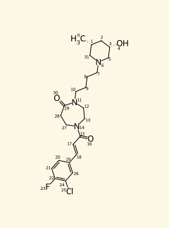 C[C@@H]1C[C@H](O)CN(CCCCN2CCN(C(=O)C=Cc3ccc(F)c(Cl)c3)CCC2=O)C1